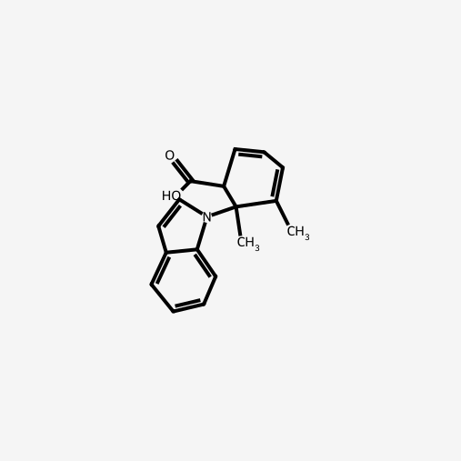 CC1=CC=CC(C(=O)O)C1(C)n1ccc2ccccc21